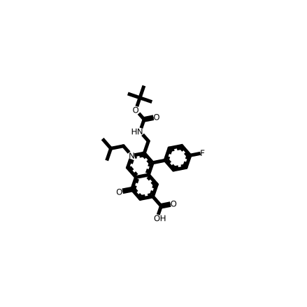 CC(C)Cn1cc2c(=O)cc(C(=O)O)cc-2c(-c2ccc(F)cc2)c1CNC(=O)OC(C)(C)C